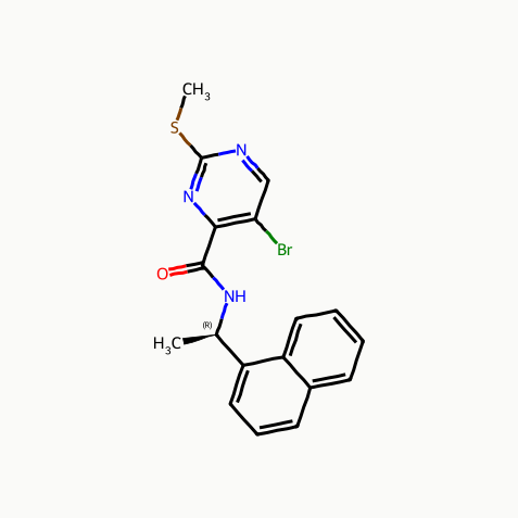 CSc1ncc(Br)c(C(=O)N[C@H](C)c2cccc3ccccc23)n1